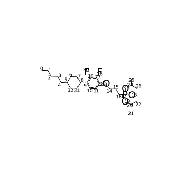 CCCCC[C@H]1CC[C@H](c2ccc(OCCCP(=O)(OC(C)C)OC(C)C)c(F)c2F)CC1